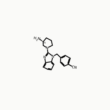 N#Cc1ccc(Cn2c(N3CCC[C@H](N)C3)nc3ccccc32)cc1